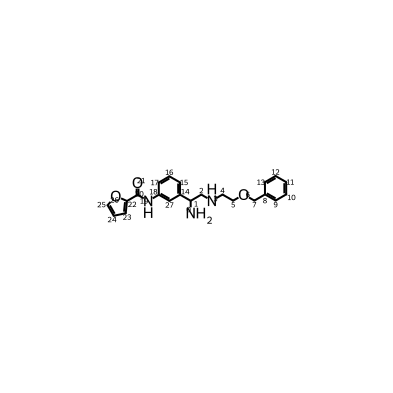 NC(CNCCOCc1ccccc1)c1cccc(NC(=O)c2ccco2)c1